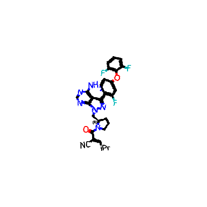 CC(C)C=C(C#N)C(=O)N1CCC[C@@H]1Cn1nc(-c2ccc(Oc3c(F)cccc3F)cc2F)c2c(N)ncnc21